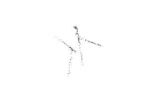 CCCCCC=CCC=CCCCCCCCCOCC(CC=O)OCCCCCCCCC=CCC=CCCCCC.CCCCCC=CCC=CCCCCCCCCOCC(CCNCCCn1ccnc1)OCCCCCCCCC=CCC=CCCCCC